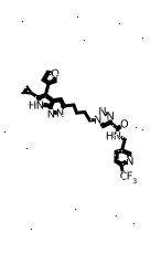 O=C(NCc1ccc(C(F)(F)F)nc1)c1cn(CCCCc2cc3c(-c4ccoc4)c(C4CC4)[nH]c3nn2)nn1